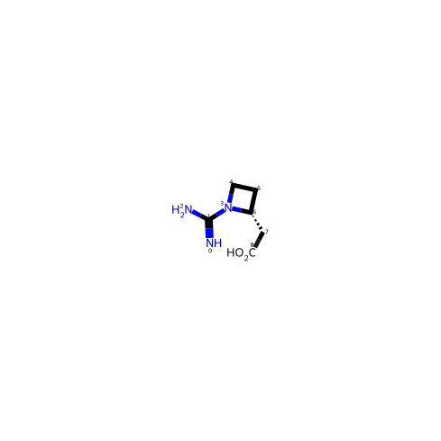 N=C(N)N1CC[C@@H]1CC(=O)O